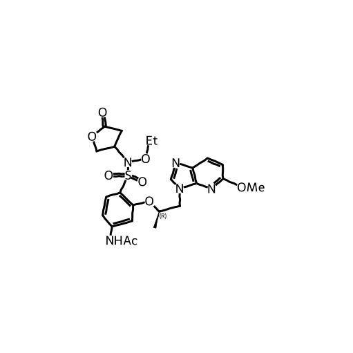 CCON(C1COC(=O)C1)S(=O)(=O)c1ccc(NC(C)=O)cc1O[C@H](C)Cn1cnc2ccc(OC)nc21